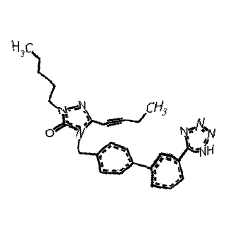 CCC#Cc1nn(CCCCC)c(=O)n1Cc1ccc(-c2cccc(-c3nnn[nH]3)c2)cc1